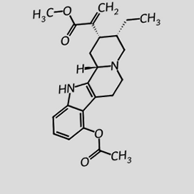 C=C(C(=O)OC)[C@H]1C[C@H]2c3[nH]c4cccc(OC(C)=O)c4c3CCN2C[C@H]1CC